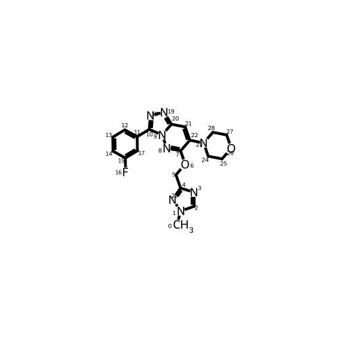 Cn1cnc(COc2nn3c(-c4cccc(F)c4)nnc3cc2N2CCOCC2)n1